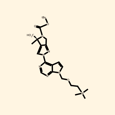 CC(C)(C)OC(=O)N1Cc2nn(-c3ncnc4c3ccn4COCC[Si](C)(C)C)cc2[C@@]1(C)C(=O)O